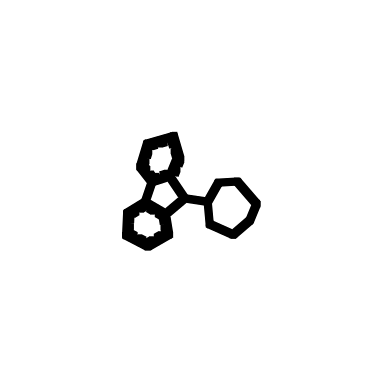 c1ccc2c(c1)-c1ccccc1C2C1CCCCCC1